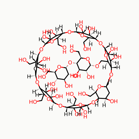 OC[C@H]1C[C@@H]2O[C@H]3[C@H](O)[C@@H](O)[C@@H](O[C@H]4[C@H](O)[C@@H](O)[C@@H](O[C@H]5[C@H](O)C[C@@H](O[C@H]6[C@H](O)[C@@H](O)[C@@H](O[C@H]7[C@H](O)[C@@H](O)[C@@H](O[C@H]8[C@H](O)[C@@H](O)[C@@H](O[C@H]1[C@H](O)C2O)O[C@@H]8CO)O[C@@H]7CO)O[C@@H]6CO[C@H]1O[C@H](CO)[C@@H](O[C@H]2O[C@H](CO)[C@@H](O)[C@H](O)[C@H]2O)[C@H](O)[C@H]1O)O[C@@H]5CO)O[C@@H]4CO)O[C@@H]3CO